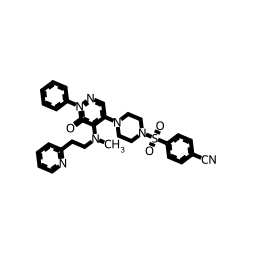 CN(CCc1ccccn1)c1c(N2CCN(S(=O)(=O)c3ccc(C#N)cc3)CC2)cnn(-c2ccccc2)c1=O